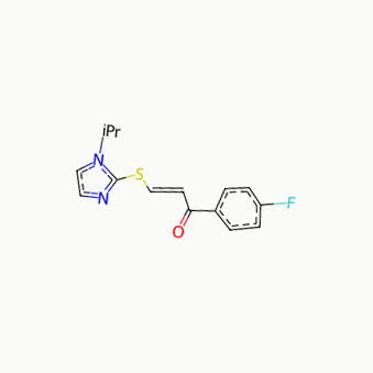 CC(C)n1ccnc1S/C=C/C(=O)c1ccc(F)cc1